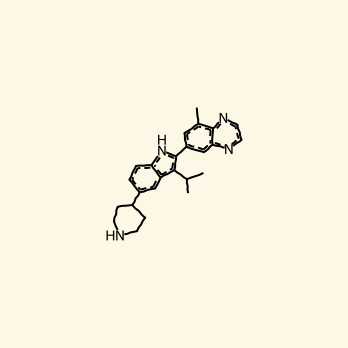 Cc1cc(-c2[nH]c3ccc(C4CCNCC4)cc3c2C(C)C)cc2nccnc12